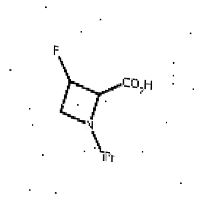 CC(C)N1CC(F)C1C(=O)O